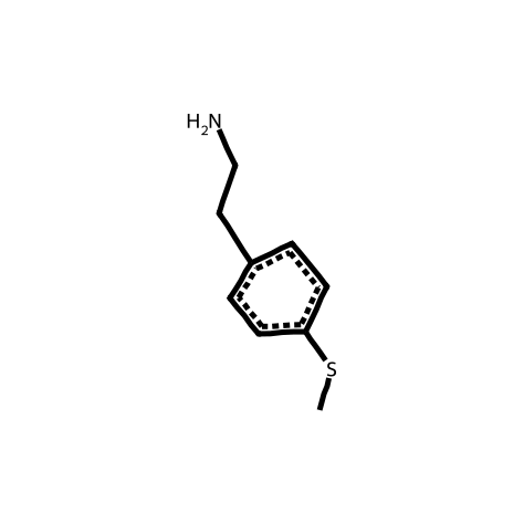 CSc1ccc(CCN)cc1